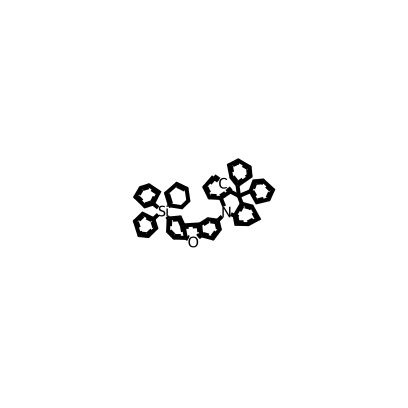 C1=CCCC([Si](c2ccccc2)(c2ccccc2)c2ccc3oc4ccc(N5c6ccccc6C(c6ccccc6)(c6ccccc6)c6ccccc65)cc4c3c2)=C1